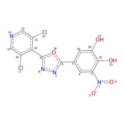 O=[N+]([O-])c1cc(-c2nnc(-c3c(Cl)cncc3Cl)o2)cc(O)c1O